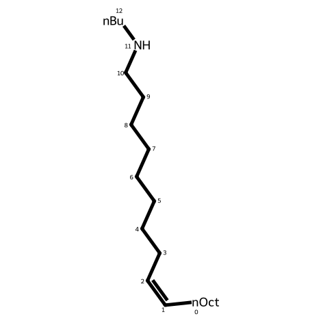 CCCCCCCC/C=C\CCCCCCCCNCCCC